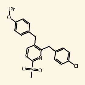 CC(C)Oc1ccc(Cc2cnc(S(C)(=O)=O)nc2Cc2ccc(Cl)cc2)cc1